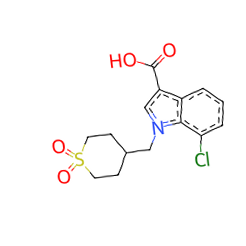 O=C(O)c1cn(CC2CCS(=O)(=O)CC2)c2c(Cl)cccc12